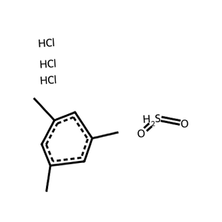 Cc1cc(C)cc(C)c1.Cl.Cl.Cl.O=[SH2]=O